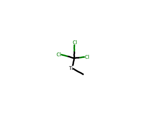 [CH3][Ti][C](Cl)(Cl)Cl